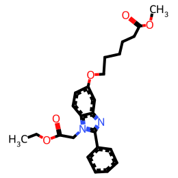 CCOC(=O)Cn1c(-c2ccccc2)nc2cc(OCCCCCC(=O)OC)ccc21